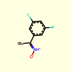 CC(C)(C)C(=[NH+][O-])c1cc(F)cc(F)c1